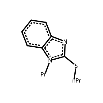 CCCSc1nc2ccccc2n1C(C)C